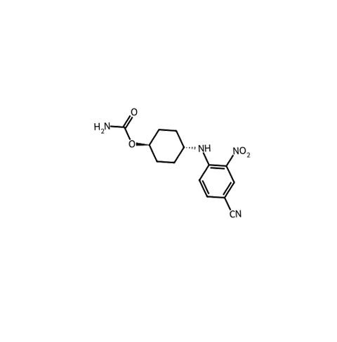 N#Cc1ccc(N[C@H]2CC[C@H](OC(N)=O)CC2)c([N+](=O)[O-])c1